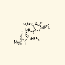 COc1ccc(NCc2cc(N)ccc2N)c(N)c1